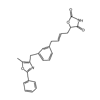 Cc1oc(-c2ccccc2)nc1Cc1cccc(CC=CCC2OC(=O)NC2=O)c1